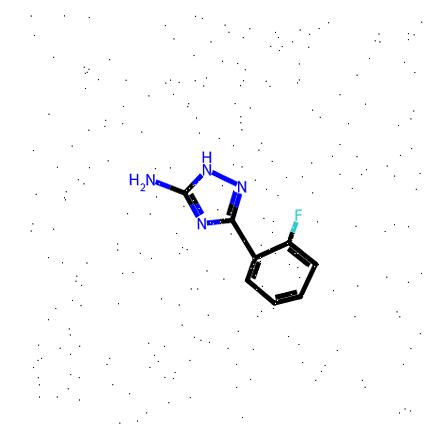 Nc1nc(-c2ccccc2F)n[nH]1